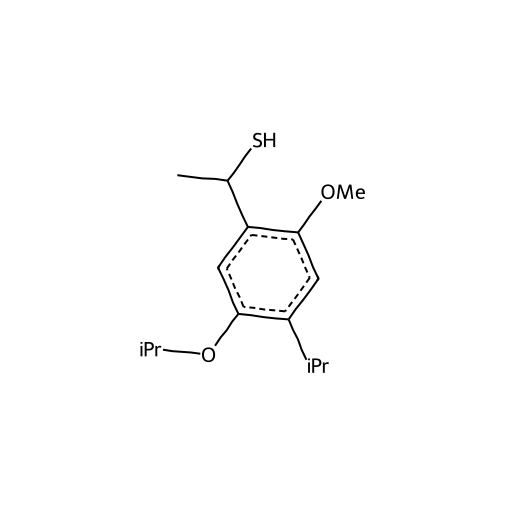 COc1cc(C(C)C)c(OC(C)C)cc1C(C)S